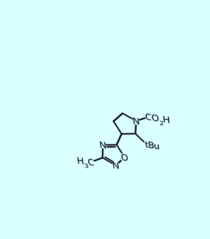 Cc1noc(C2CCN(C(=O)O)C2C(C)(C)C)n1